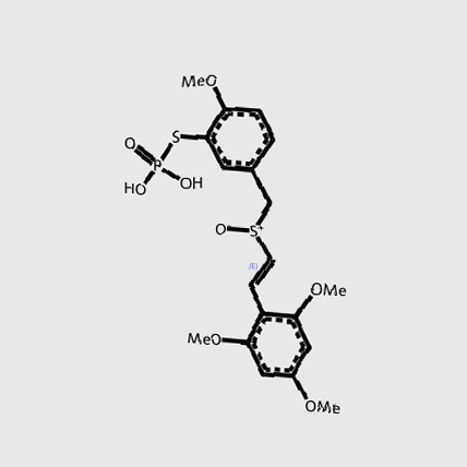 COc1cc(OC)c(/C=C/[S+]([O-])Cc2ccc(OC)c(SP(=O)(O)O)c2)c(OC)c1